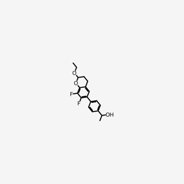 CCOC1CCc2cc(-c3ccc(C(C)O)cc3)c(F)c(F)c2O1